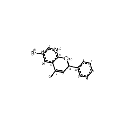 CC1=CC(c2ccccc2)Oc2ncc(Br)cc21